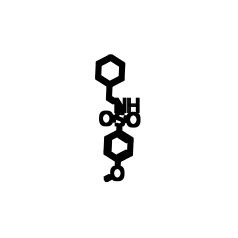 COc1ccc(S(=O)(=O)NCC2CCCCC2)cc1